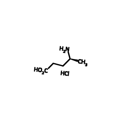 C[C@H](N)CCC(=O)O.Cl